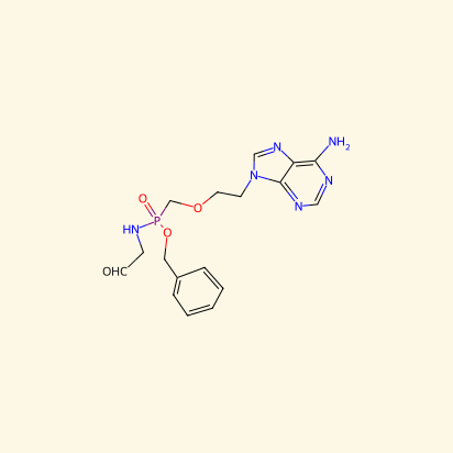 Nc1ncnc2c1ncn2CCOCP(=O)(NCC=O)OCc1ccccc1